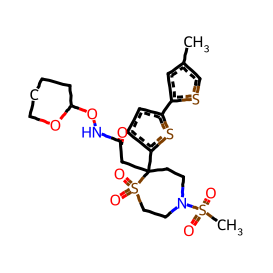 Cc1csc(-c2ccc(C3(CC(=O)NOC4CCCCO4)CCN(S(C)(=O)=O)CCS3(=O)=O)s2)c1